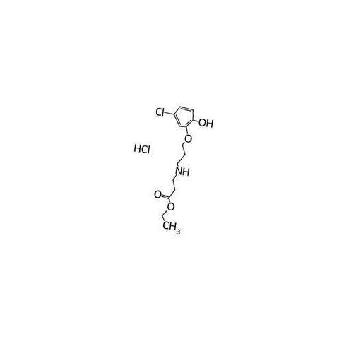 CCOC(=O)CCNCCCOc1cc(Cl)ccc1O.Cl